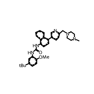 COc1ccc(C(C)(C)C)cc1NC(=O)Nc1ccc(-c2ccc(CN3CCN(C)CC3)nc2)c2ccccc12